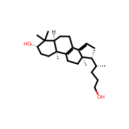 C[C@H](CCCO)[C@H]1CC=C2C3=C(CC[C@@]21C)[C@@]1(C)CC[C@H](O)C(C)(C)[C@H]1CC3